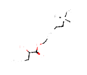 CC(C)[Si](CCCCCOC(=O)C(O)CC(=O)O)(C(C)C)C(C)C